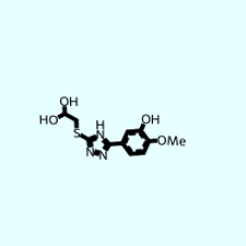 COc1ccc(-c2nnc(SCC(O)O)[nH]2)cc1O